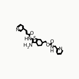 Nc1c(NC(=O)/C=C/c2cccnc2)sc2c1CCC(COC(=O)NCc1ccccn1)C2